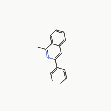 C/C=C\C(=C/C)c1cc2ccccc2c(C)n1